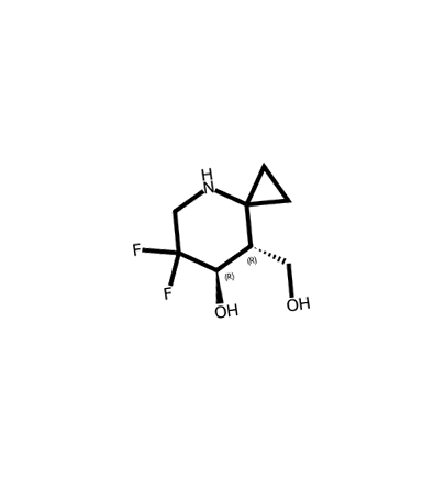 OC[C@@H]1[C@@H](O)C(F)(F)CNC12CC2